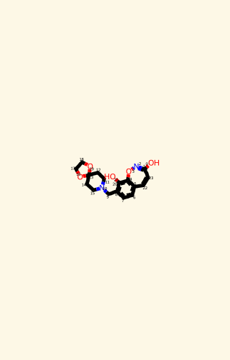 OC1=NOc2c(ccc(CN3CCC4(CC3)OCCO4)c2O)C=C1